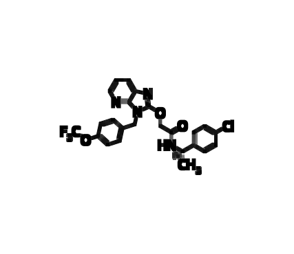 C[C@H](NC(=O)COc1nc2cccnc2n1Cc1ccc(OC(F)(F)F)cc1)c1ccc(Cl)cc1